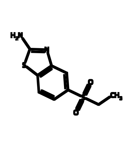 CCS(=O)(=O)c1ccc2sc(N)nc2c1